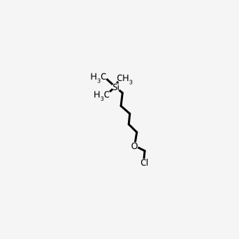 C[Si](C)(C)CCCCCOCCl